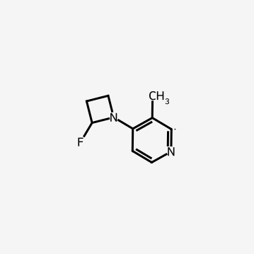 Cc1[c]nccc1N1CCC1F